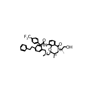 C[C@@H]1CN([C@@H](C)CO)C(=O)c2cccc(NC(=O)Cc3ccc(C(F)(F)F)cc3)c2O[C@@H]1CN(C)Cc1ccc(CCc2ccccc2)cc1